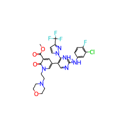 C=C(/N=C\C(=C(/N)n1ccc(C(F)(F)F)n1)c1cc(C(=O)OC)c(=O)n(CCN2CCOCC2)c1)Nc1ccc(F)c(Cl)c1